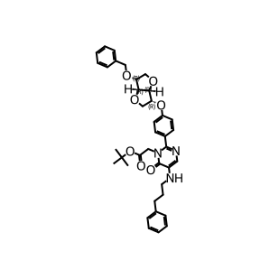 CC(C)(C)OC(=O)Cn1c(-c2ccc(O[C@@H]3CO[C@H]4[C@@H]3OC[C@H]4OCc3ccccc3)cc2)ncc(NCCCc2ccccc2)c1=O